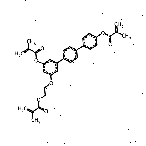 C=C(C)C(=O)OCCOc1cc(OC(=O)C(=C)C)cc(-c2ccc(-c3ccc(OC(=O)C(=C)C)cc3)cc2)c1